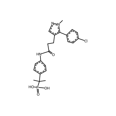 Cn1ncc(CCC(=O)Nc2ccc(C(C)(C)P(=O)(O)O)cc2)c1-c1ccc(Cl)cc1